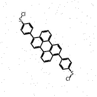 ClSc1ccc(-c2ccc3c4cccc5c(-c6ccc(SCl)cc6)ccc(c6cccc2c63)c54)cc1